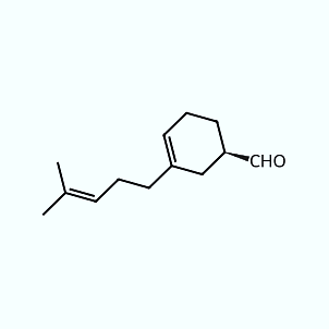 CC(C)=CCCC1=CCC[C@@H](C=O)C1